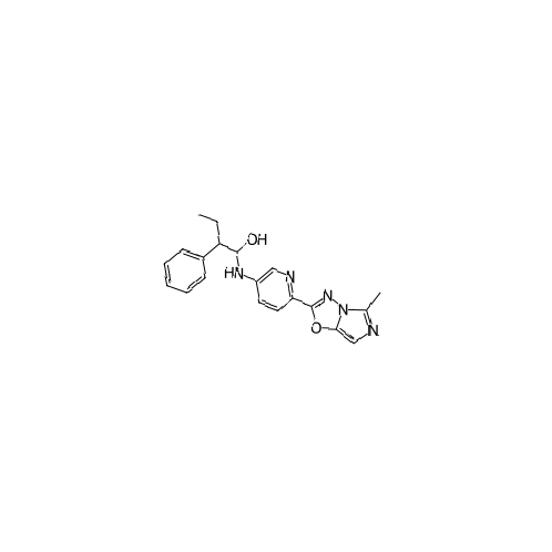 CCC(c1ccccc1)C(O)Nc1ccc(-c2nn3c(C)ncc3o2)nc1